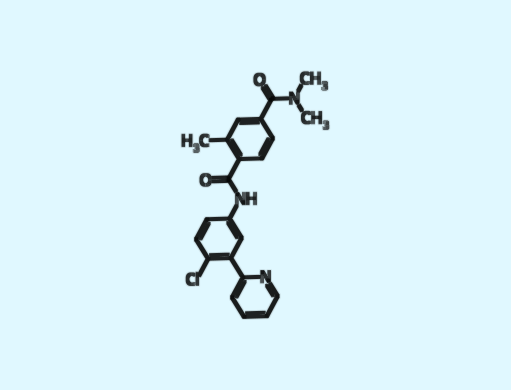 Cc1cc(C(=O)N(C)C)ccc1C(=O)Nc1ccc(Cl)c(-c2ccccn2)c1